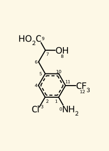 Nc1c(Cl)cc(CC(O)C(=O)O)cc1C(F)(F)F